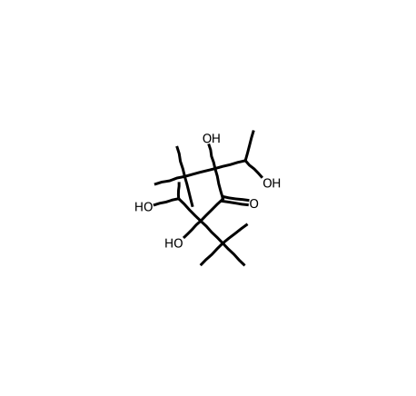 CC(O)C(O)(C(=O)C(O)(C(C)O)C(C)(C)C)C(C)(C)C